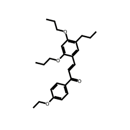 CCCOc1cc(OCCC)c(CCC)cc1C=CC(=O)c1ccc(OCC)cc1